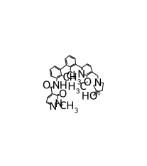 COc1nc(-c2cccc(-c3cccc(NC(=O)c4ccnn(C)c4=O)c3C)c2Cl)ccc1CN1CC[C@@H](O)C1